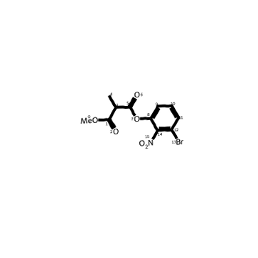 COC(=O)C(C)C(=O)Oc1cccc(Br)c1[N+](=O)[O-]